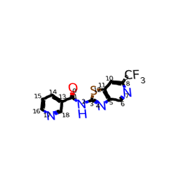 O=C(Nc1nc2cnc(C(F)(F)F)cc2s1)c1cccnc1